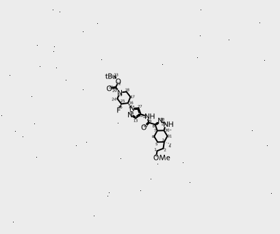 COCC[C@@]1(C)CCC2C(C(=O)Nc3cnn([C@H]4CCN(C(=O)OC(C)(C)C)C[C@@H]4F)c3)=NNC2C1